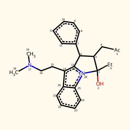 CCC1(O)C(CC(C)=O)C(c2ccccc2)c2c(CCN(C)C)c3ccccc3n21